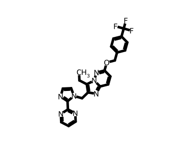 CCc1c(Cn2ccnc2-c2ncccn2)nc2ccc(OCc3ccc(C(F)(F)F)cc3)nn12